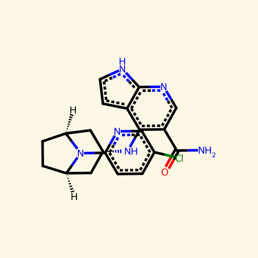 NC(=O)c1cnc2[nH]ccc2c1N[C@@H]1C[C@H]2CC[C@@H](C1)N2c1ccc(Cl)cn1